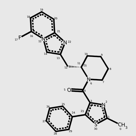 Cc1nc(C(=O)N2CCCC[C@H]2Cc2cn3c(F)cccc3n2)c(-c2ccccc2)s1